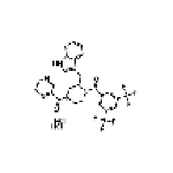 Cl.Cl.O=C(c1cnccn1)N1CCN(C(=O)c2cc(C(F)(F)F)cc(C(F)(F)F)c2)[C@H](Cc2c[nH]c3ccccc23)C1